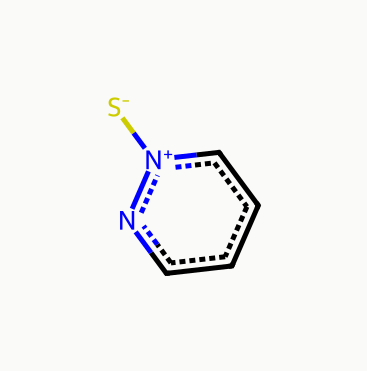 [S-][n+]1ccccn1